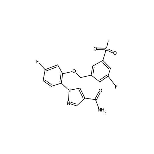 CS(=O)(=O)c1cc(F)cc(COc2cc(F)ccc2-n2cc(C(N)=O)cn2)c1